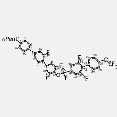 CCCCCc1ccc(-c2ccc(-c3cc(F)c(OC(F)(F)c4cc(F)c(-c5ccc(OC(F)(F)F)cc5)c(F)c4)c(F)c3)c(F)c2)cc1